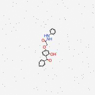 O=C(COc1ccc(C(=O)c2ccccc2)c(O)c1)NNc1ccccc1